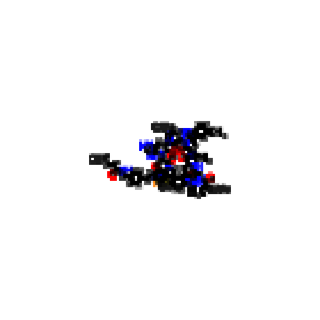 CN[C@@H](C)C(=O)NCC(=O)NC(Cc1c[nH]c2ccc(P)cc12)C(=O)N(C)[C@@H](Cc1c[nH]c2ccc(C)cc12)C(=O)N[C@@H](CC(=O)OC)C(=O)N[C@@H](Cc1cnc[nH]1)C(=O)N[C@@H](Cc1ccc(OC)cc1)C(=O)N1CCCC1C(=O)NCCc1ccc(CNC(=O)CCC=O)cc1